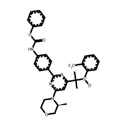 C[C@H]1COCCN1c1cc(C(C)(C)[S+]([O-])c2ccccc2C(F)(F)F)nc(-c2ccc(NC(=O)Oc3ccccc3)cc2)n1